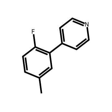 Cc1ccc(F)c(-c2ccncc2)c1